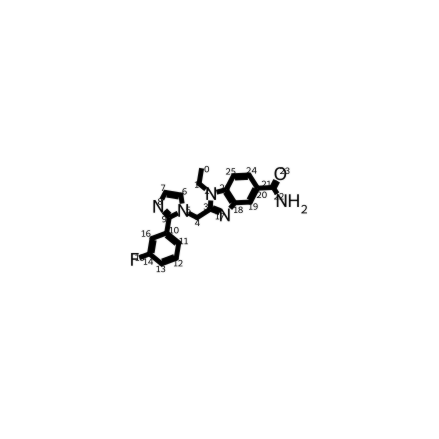 CCn1c(Cn2ccnc2-c2cccc(F)c2)nc2cc(C(N)=O)ccc21